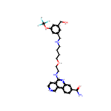 NC(=O)c1ccc2c(c1)nc(NCCOCCCCNCc1cc(CO)cc(OC(F)(F)F)c1)c1ccncc12